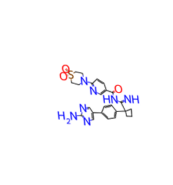 N=C(NC(=O)c1ccc(N2CCS(=O)(=O)CC2)nc1)C1(c2ccc(-c3cnc(N)nc3)cc2)CCC1